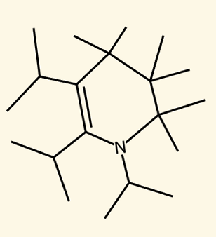 CC(C)C1=C(C(C)C)C(C)(C)C(C)(C)C(C)(C)N1C(C)C